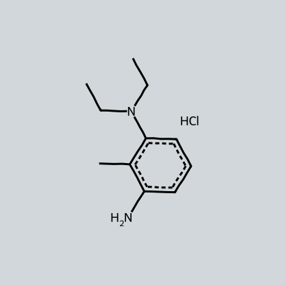 CCN(CC)c1cccc(N)c1C.Cl